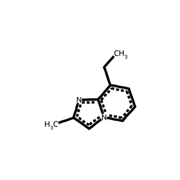 CCc1cccn2cc(C)nc12